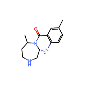 Cc1ccc(N)c(C(=O)N2CCNCCC2C)c1